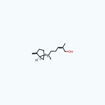 C=C1CC[C@@]2([C@H](C)CCC=C(C)CO)C[C@@H]12